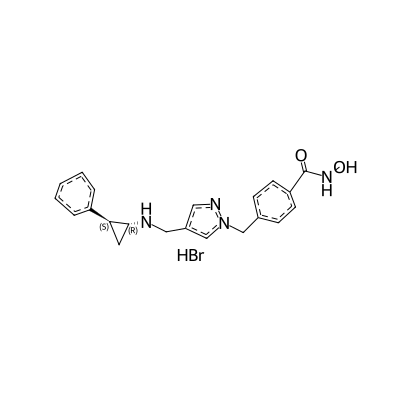 Br.O=C(NO)c1ccc(Cn2cc(CN[C@@H]3C[C@H]3c3ccccc3)cn2)cc1